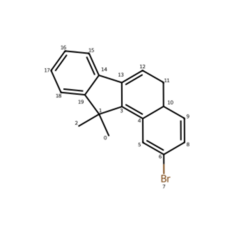 CC1(C)C2=C3C=C(Br)C=CC3CC=C2c2ccccc21